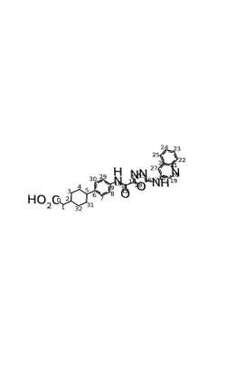 O=C(O)CC1CCC(c2ccc(NC(=O)c3nnc(Nc4cnc5ccccc5c4)o3)cc2)CC1